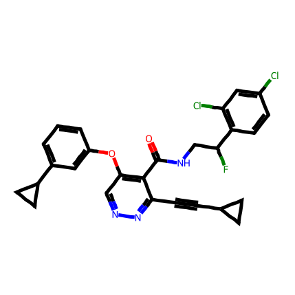 O=C(NCC(F)c1ccc(Cl)cc1Cl)c1c(Oc2cccc(C3CC3)c2)cnnc1C#CC1CC1